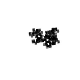 Cc1cc(C(F)(C(F)(F)F)C(F)(F)F)ccc1NC(=O)c1cccc(Br)c1C(=O)NC(C)(C)C=[N+](C)O